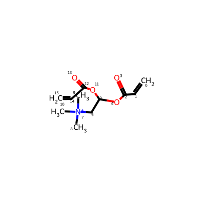 C=CC(=O)OC(C[N+](C)(C)C)OC(=O)C=C